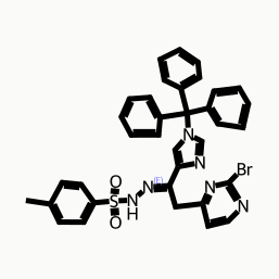 Cc1ccc(S(=O)(=O)N/N=C(\Cc2ccnc(Br)n2)c2cn(C(c3ccccc3)(c3ccccc3)c3ccccc3)cn2)cc1